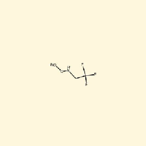 OONCC(F)(F)F